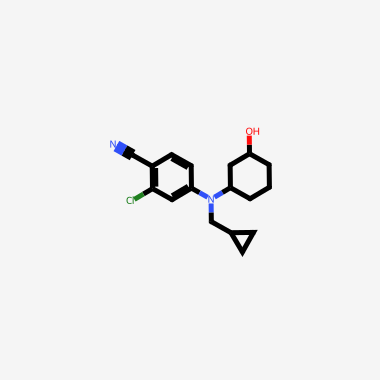 N#Cc1ccc(N(CC2CC2)C2CCCC(O)C2)cc1Cl